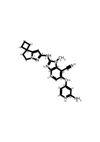 Cn1c(Nc2cc3n(n2)CCC32CCC2)nc2ncc(Oc3ccnc(N)c3)c(C#N)c21